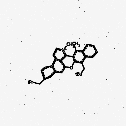 Cc1c2c(c(CC(C)(C)C)c3ccccc13)Oc1cc3cc(CC(C)C)ccc3c3cc[n+](C)c-2c13